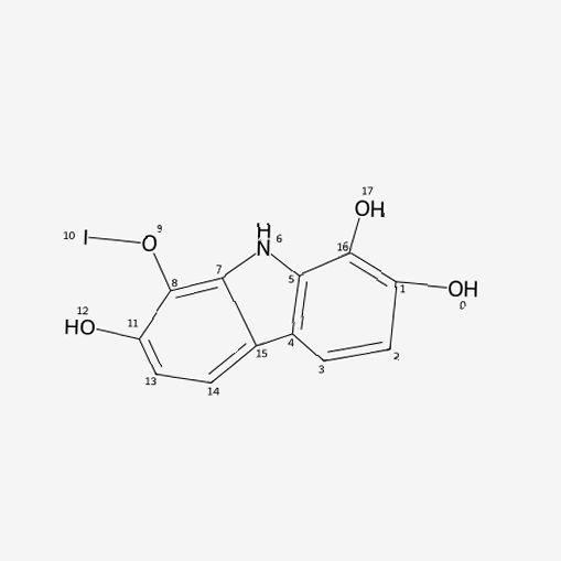 Oc1ccc2c([nH]c3c(OI)c(O)ccc32)c1O